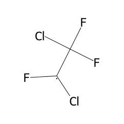 F[C](Cl)C(F)(F)Cl